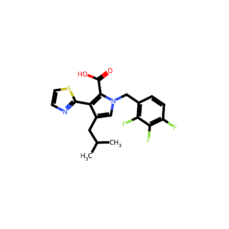 CC(C)Cc1cn(Cc2ccc(F)c(F)c2F)c(C(=O)O)c1-c1nccs1